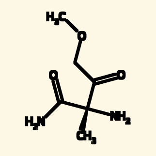 COCC(=O)[C@](C)(N)C(N)=O